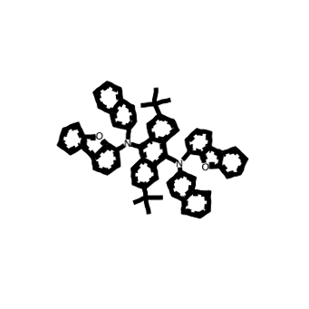 CC(C)(C)c1ccc2c(N(c3ccc4ccccc4c3)c3cccc4c3oc3ccccc34)c3cc(C(C)(C)C)ccc3c(N(c3ccc4ccccc4c3)c3cccc4c3oc3ccccc34)c2c1